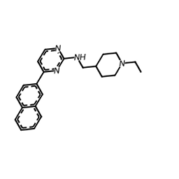 CCN1CCC(CNc2nccc(-c3ccc4ccccc4c3)n2)CC1